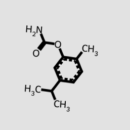 Cc1ccc(C(C)C)cc1OC(N)=O